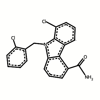 NC(=O)c1cccc2c1c1[c]ccc(Cl)c1n2Cc1ccccc1Cl